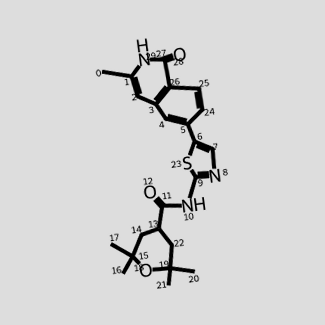 Cc1cc2cc(-c3cnc(NC(=O)C4CC(C)(C)OC(C)(C)C4)s3)ccc2c(=O)[nH]1